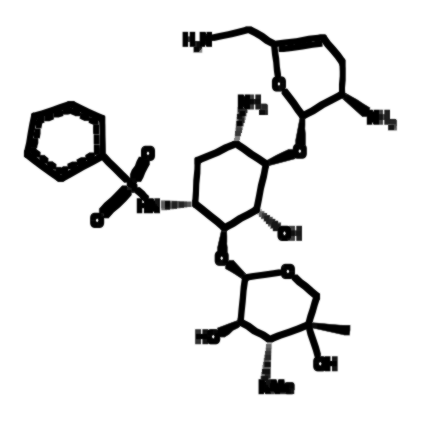 CN[C@@H]1[C@@H](O)[C@@H](O[C@@H]2[C@@H](O)[C@H](O[C@H]3OC(CN)=CC[C@H]3N)[C@@H](N)C[C@H]2NS(=O)(=O)c2ccccc2)OC[C@]1(C)O